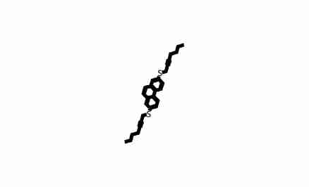 CCCCC#CCSc1ccc2c(ccc3cc(SCC#CCCCC)ccc32)c1